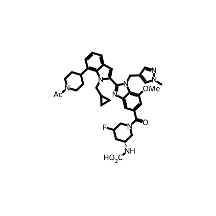 COc1cc(C(=O)N2CC(F)C[C@@H](NC(=O)O)C2)cc2nc(-c3cc4cccc(C5CCN(C(C)=O)CC5)c4n3CC3CC3)n(Cc3cnn(C)c3)c12